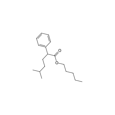 CCCCCOC(=O)C(CCC(C)C)c1ccccc1